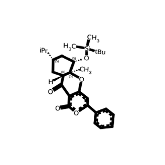 CC(C)[C@@H]1C[C@H](O[Si](C)(C)C(C)(C)C)[C@@]2(C)Oc3cc(-c4ccccc4)oc(=O)c3C(=O)[C@@H]2C1